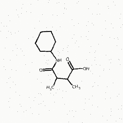 CC(C(=O)O)C(C)C(=O)NC1CCCCC1